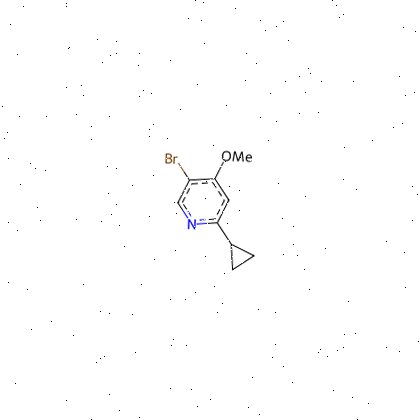 COc1cc(C2CC2)ncc1Br